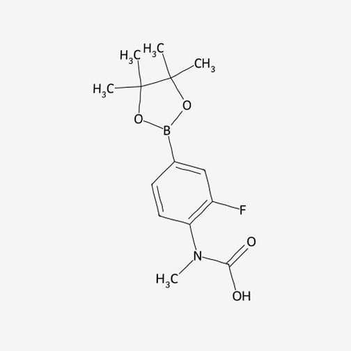 CN(C(=O)O)c1ccc(B2OC(C)(C)C(C)(C)O2)cc1F